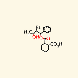 CCC(C(C)O)C(OC(=O)C1CCCCC1C(=O)O)c1ccccc1